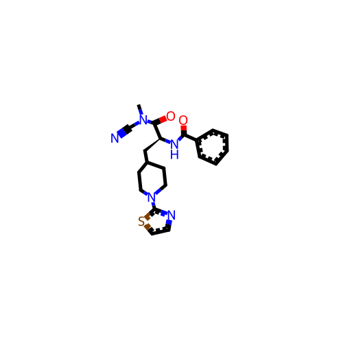 CN(C#N)C(=O)[C@H](CC1CCN(c2nccs2)CC1)NC(=O)c1ccccc1